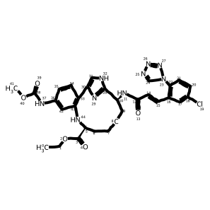 CCOC(=O)[C@@H]1CCCC[C@H](NC(=O)/C=C/c2cc(Cl)ccc2-n2cnnn2)c2nc(c[nH]2)-c2ccc(NC(=O)OC)cc2N1